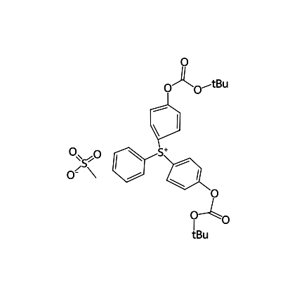 CC(C)(C)OC(=O)Oc1ccc([S+](c2ccccc2)c2ccc(OC(=O)OC(C)(C)C)cc2)cc1.CS(=O)(=O)[O-]